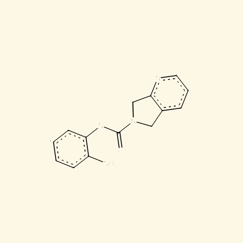 Nc1ccccc1NC(=O)N1Cc2cccnc2C1